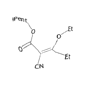 CCCC(C)OC(=O)C(C#N)=C(CC)OCC